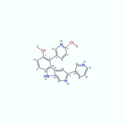 COc1ccc(-c2c(OC)ccc3[nH]c4cnc(-c5cccnc5)cc4c23)cn1